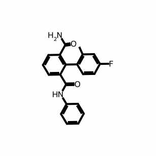 Cc1cc(F)ccc1-c1c(C(N)=O)cccc1C(=O)Nc1ccccc1